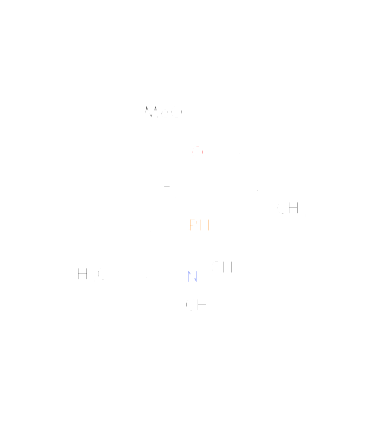 CCC(Pc1ccc(C)cc1N(C)C)c1cc(C)ccc1OCOC